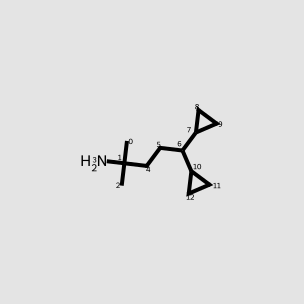 CC(C)(N)CCC(C1CC1)C1CC1